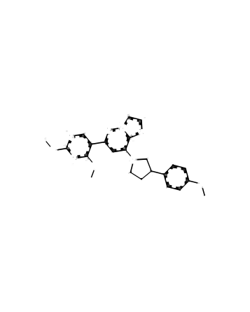 COc1ccc(C2CCN(c3cc(-c4cnc(OC)nc4OC)nn4ccnc34)C2)cc1